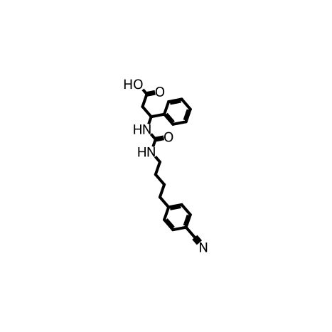 N#Cc1ccc(CCCCNC(=O)NC(CC(=O)O)c2ccccc2)cc1